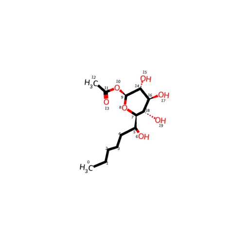 CCCCCC(O)[C@H]1O[C@@H](OC(C)=O)[C@H](O)[C@@H](O)[C@@H]1O